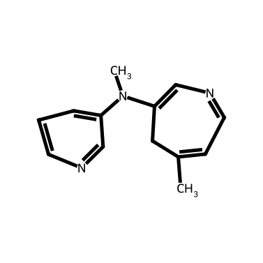 CC1=CC=NC=C(N(C)c2cccnc2)C1